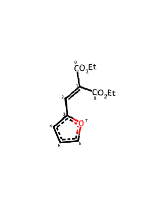 CCOC(=O)C(=Cc1ccco1)C(=O)OCC